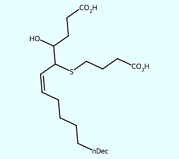 CCCCCCCCCCCCCC/C=C\C(SCCCC(=O)O)C(O)CCC(=O)O